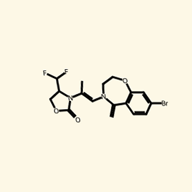 C=C1c2ccc(Br)cc2OCCN1/C=C(\C)N1C(=O)OCC1C(F)F